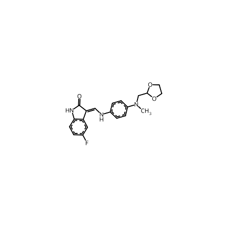 CN(CC1OCCO1)c1ccc(N/C=C2/C(=O)Nc3ccc(F)cc32)cc1